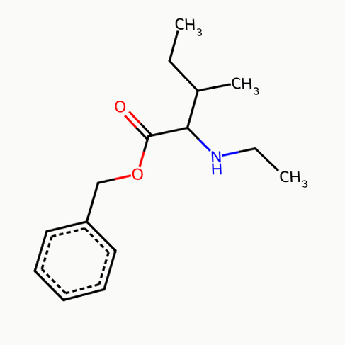 CCNC(C(=O)OCc1ccccc1)C(C)CC